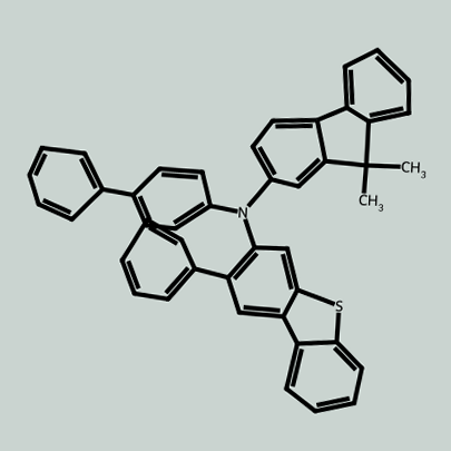 CC1(C)c2ccccc2-c2ccc(N(c3ccc(-c4ccccc4)cc3)c3cc4sc5ccccc5c4cc3-c3ccccc3)cc21